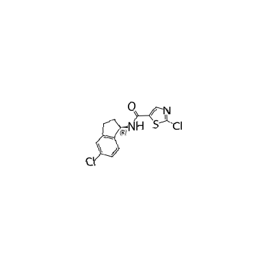 O=C(N[C@@H]1CCc2cc(Cl)ccc21)c1cnc(Cl)s1